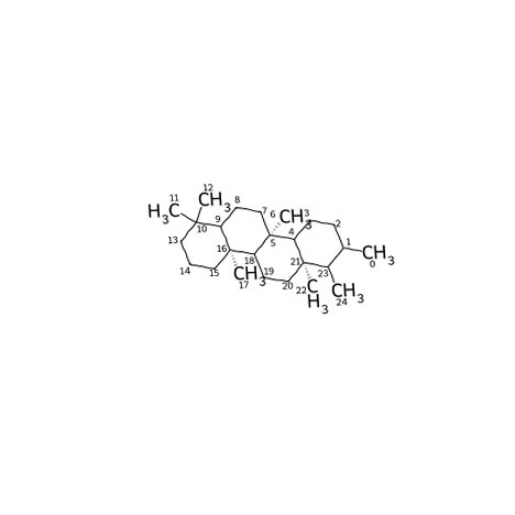 CC1CCC2[C@]3(C)CCC4C(C)(C)CCC[C@]4(C)C3CC[C@]2(C)C1C